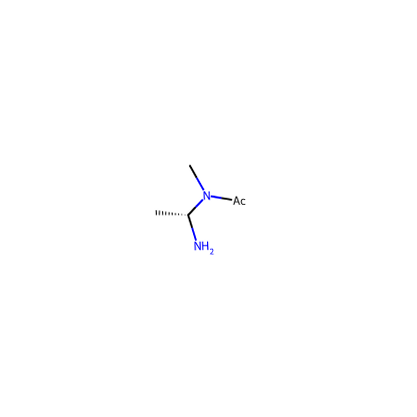 CC(=O)N(C)[C@@H](C)N